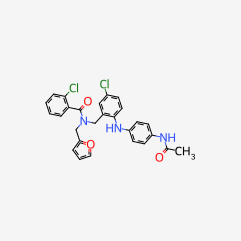 CC(=O)Nc1ccc(Nc2ccc(Cl)cc2CN(Cc2ccco2)C(=O)c2ccccc2Cl)cc1